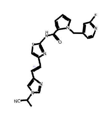 CC(C#N)n1cnc(/C=C/c2csc(NC(=O)c3cccn3Cc3ccnc(F)c3)n2)c1